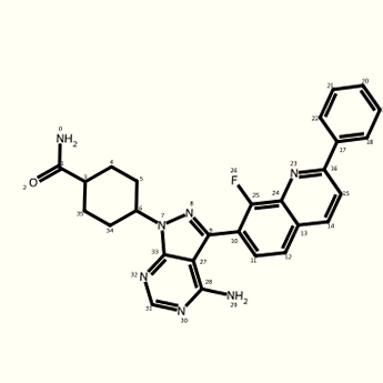 NC(=O)C1CCC(n2nc(-c3ccc4ccc(-c5ccccc5)nc4c3F)c3c(N)ncnc32)CC1